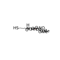 COc1cc(C(C)OC(=O)NCCOCCOCCNC(=O)CCCCCCCCCCS)c([N+](=O)[O-])cc1OC